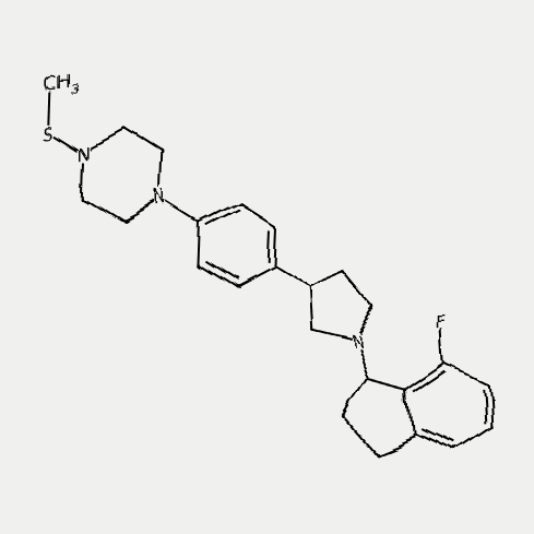 CSN1CCN(c2ccc(C3CCN(C4CCc5cccc(F)c54)C3)cc2)CC1